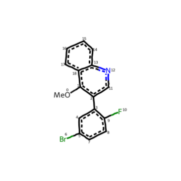 COc1c(-c2cc(Br)ccc2F)cnc2ccccc12